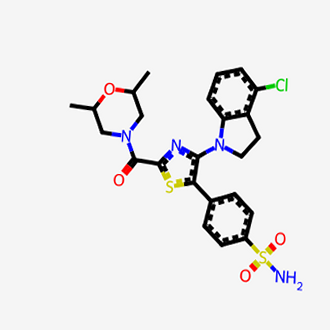 CC1CN(C(=O)c2nc(N3CCc4c(Cl)cccc43)c(-c3ccc(S(N)(=O)=O)cc3)s2)CC(C)O1